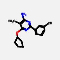 N#Cc1cccc(-c2nc(N)c(C(=O)O)c(OC3CCCC3)n2)c1